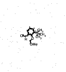 COCOc1c(PCl)cccc1[Si](C)(C)C